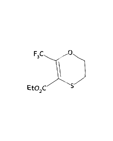 CCOC(=O)C1=C(C(F)(F)F)OCCS1